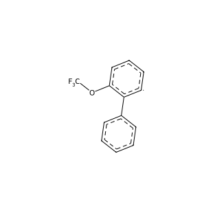 FC(F)(F)Oc1ccc[c]c1-c1ccccc1